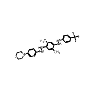 Cc1cc(NNc2ccc(C(F)(F)F)cc2)c(C)cc1NNc1ccc(N2CCOCC2)cc1